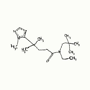 CCN(CC(C)(C)C)C(=O)CCC(C)(C)c1ccnn1C